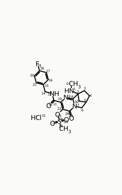 CNC12CCC(Cn3c1nc(C(=O)NCc1ccc(F)cc1)c(OS(C)(=O)=O)c3=O)C2.Cl